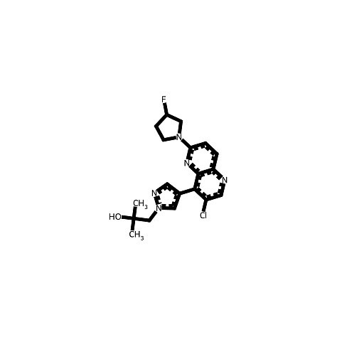 CC(C)(O)Cn1cc(-c2c(Cl)cnc3ccc(N4CCC(F)C4)nc23)cn1